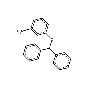 Nc1cccc(OC(c2ccccc2)c2ccccc2)c1